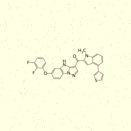 Cn1c(C(=O)c2cnn3c2[nH]c2cc(Oc4cccc(F)c4F)ccc23)cc2c(-c3ccsc3)cccc21